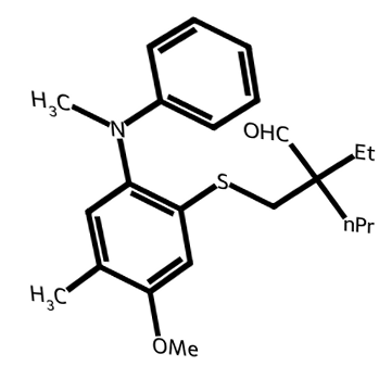 CCCC(C=O)(CC)CSc1cc(OC)c(C)cc1N(C)c1ccccc1